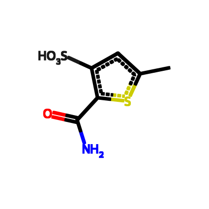 Cc1cc(S(=O)(=O)O)c(C(N)=O)s1